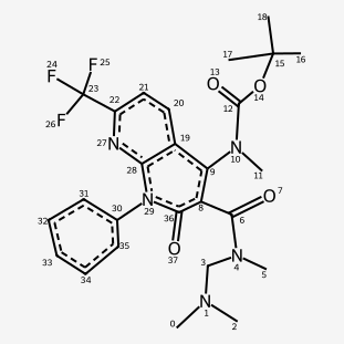 CN(C)CN(C)C(=O)c1c(N(C)C(=O)OC(C)(C)C)c2ccc(C(F)(F)F)nc2n(-c2ccccc2)c1=O